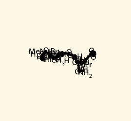 CN[C@H](C(=O)N[C@H](C(=O)N(C)[C@H](C=C(C)C(=O)NS(=O)(=O)c1ccc(CNC(=O)OCc2ccc(NC(=O)[C@@H](CCCNC(N)=O)NC(=O)[C@H](NC(=O)CCCCCN3C(=O)C=CC3=O)C(C)C)cc2)cc1)C(C)C)C(C)(C)C)C(C)(C)c1ccccc1